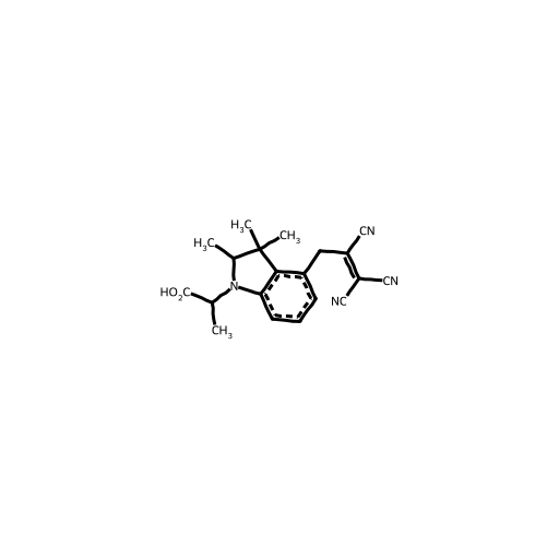 CC(C(=O)O)N1c2cccc(CC(C#N)=C(C#N)C#N)c2C(C)(C)C1C